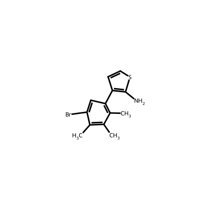 Cc1c(Br)cc(-c2ccsc2N)c(C)c1C